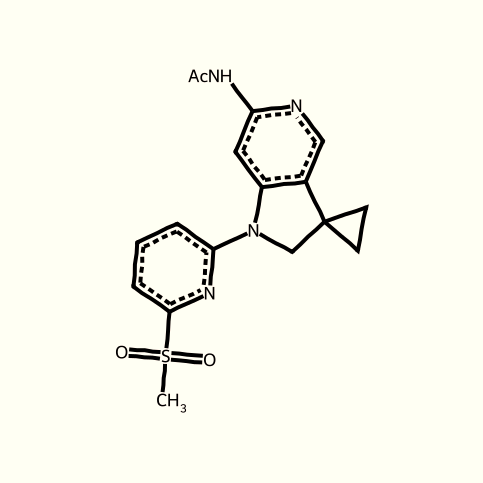 CC(=O)Nc1cc2c(cn1)C1(CC1)CN2c1cccc(S(C)(=O)=O)n1